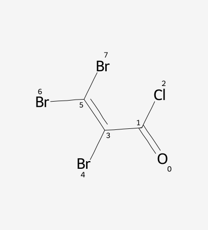 O=C(Cl)C(Br)=C(Br)Br